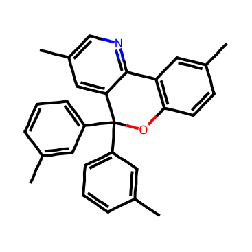 Cc1cccc(C2(c3cccc(C)c3)Oc3ccc(C)cc3-c3ncc(C)cc32)c1